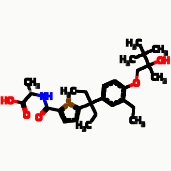 CCc1cc(C(CC)(CC)c2ccc(C(=O)N[C@@H](C)C(=O)O)s2)ccc1OCC(C)(O)C(C)(C)C